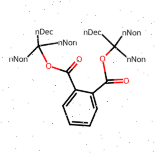 CCCCCCCCCCC(CCCCCCCCC)(CCCCCCCCC)OC(=O)c1ccccc1C(=O)OC(CCCCCCCCC)(CCCCCCCCC)CCCCCCCCCC